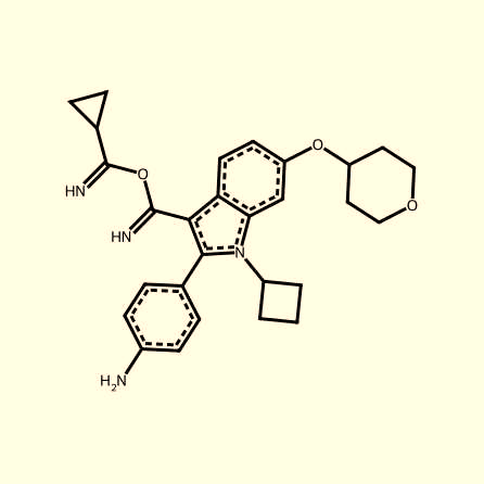 N=C(OC(=N)C1CC1)c1c(-c2ccc(N)cc2)n(C2CCC2)c2cc(OC3CCOCC3)ccc12